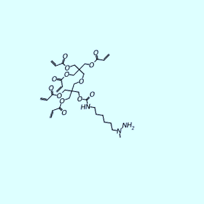 C=CC(=O)OCC(COCC(COC(=O)C=C)(COC(=O)C=C)COC(=O)NCCCCCCN(C)N)(COC(=O)C=C)COC(=O)C=C